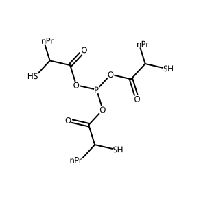 CCCC(S)C(=O)OP(OC(=O)C(S)CCC)OC(=O)C(S)CCC